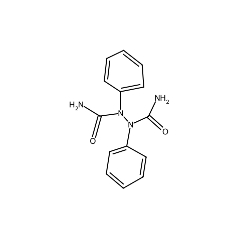 NC(=O)N(c1ccccc1)N(C(N)=O)c1ccccc1